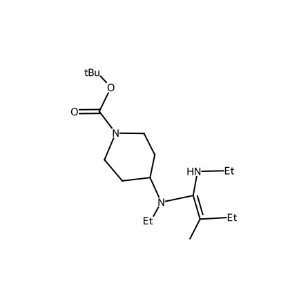 CCN/C(=C(/C)CC)N(CC)C1CCN(C(=O)OC(C)(C)C)CC1